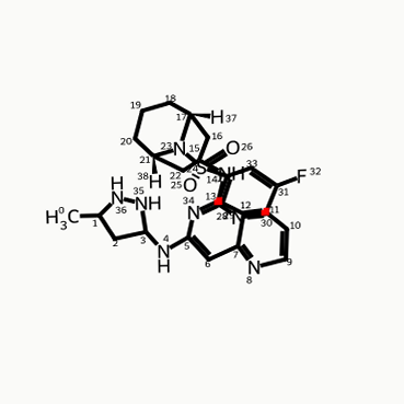 CC1CC(Nc2cc3ncccc3c(NC3C[C@H]4CCC[C@@H](C3)N4S(=O)(=O)c3cncc(F)c3)n2)NN1